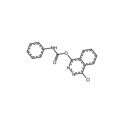 O=C(Nc1ccccc1)Oc1nnc(Cl)c2ccccc12